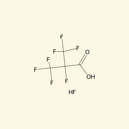 F.O=C(O)C(F)(C(F)(F)F)C(F)(F)F